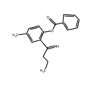 CCCC(=N)c1cc(C)ccc1OC(=O)c1ccccc1